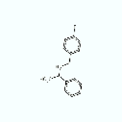 O=C(O)C(NCc1ccc(F)cc1)c1ccccc1